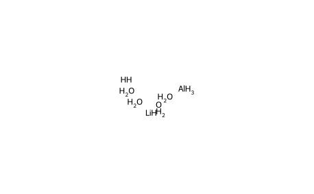 O.O.O.O.[AlH3].[HH].[LiH]